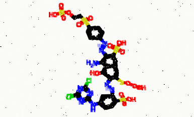 Nc1c(/N=N/c2ccc(S(=O)(=O)CCOS(=O)(=O)O)cc2)c(S(=O)(=O)O)cc2cc(SOOO)c(/N=N/c3cc(Nc4nc(Cl)nc(Cl)n4)ccc3S(=O)(=O)O)c(O)c12